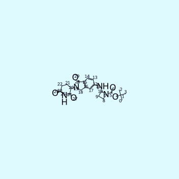 CC(C)(C)OC(=O)N1CCC1Nc1ccc2c(c1)CN(C1CCC(=O)NC1=O)C2=O